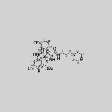 CC(C)(C)C[C@H]1N[C@@H](C(=O)NCCCN2CCOCC2)[C@H](c2cccc(Cl)c2F)[C@@]12C(=O)Nc1cc(Cl)c(F)cc12